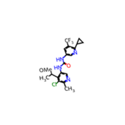 CO[C@H](C)c1c(NC(=O)Nc2cnc(C3CC3)c(C(F)(F)F)c2)cnc(C)c1Cl